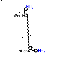 CCCCCc1cc(CCCCCCCCCCCCCCCCCCc2ccc(Cc3ccc(N)cc3)c(CCCCC)c2)ccc1Cc1ccc(N)cc1